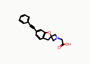 O=C(O)CN1CC2(Cc3ccc(C#Cc4ccccc4)cc3O2)C1